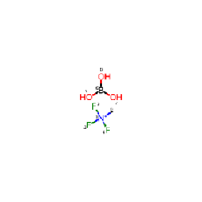 C[N+](F)(F)F.OB(O)O